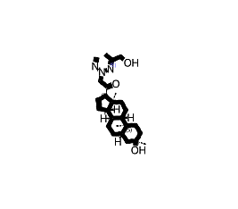 C=NN(CC(=O)[C@H]1C=C[C@H]2[C@@H]3CC[C@@H]4C[C@](C)(O)CC[C@]4(C)[C@H]3CC[C@]12C)/N=C(\C)CO